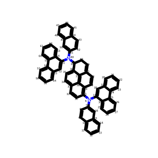 C1=c2ccc3c(N(c4ccc5ccccc5c4)c4cc5ccccc5c5ccccc45)ccc4ccc(c2c43)C(N(c2ccc3ccccc3c2)c2cc3ccccc3c3ccccc23)C1